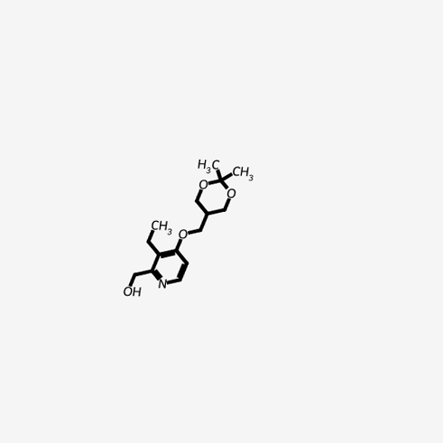 CCc1c(OCC2COC(C)(C)OC2)ccnc1CO